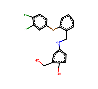 OCc1cc(NCc2ccccc2Sc2ccc(Cl)c(Cl)c2)ccc1O